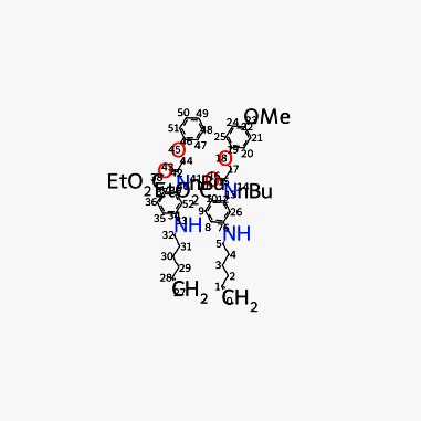 C=CCCCCNc1ccc(C(=O)OCC)c(N(CCCC)C(=O)COc2ccc(OC)cc2)c1.C=CCCCCNc1ccc(C(=O)OCC)c(N(CCCC)C(=O)COc2ccccc2)c1